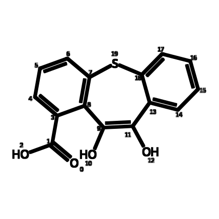 O=C(O)c1cccc2c1C(O)=C(O)c1ccccc1S2